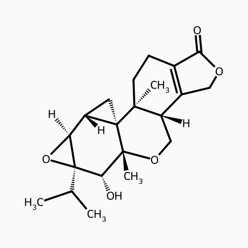 CC(C)[C@]12O[C@H]1[C@@H]1C[C@@]13[C@@]1(C)CCC4=C(COC4=O)[C@@H]1CO[C@]3(C)[C@@H]2O